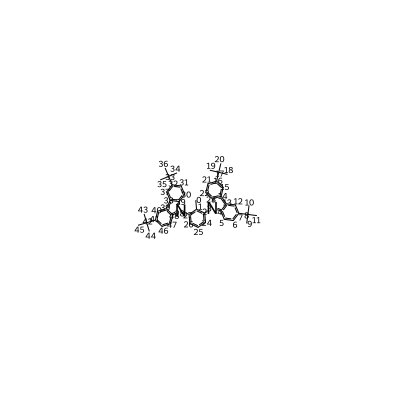 Cc1c(-n2c3ccc(C(C)(C)C)cc3c3cc(C(C)(C)C)ccc32)cccc1-n1c2ccc(C(C)(C)C)cc2c2cc(C(C)(C)C)ccc21